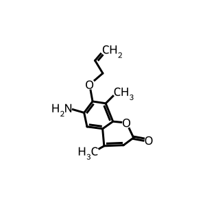 C=CCOc1c(N)cc2c(C)cc(=O)oc2c1C